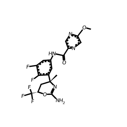 COc1cnc(C(=O)Nc2cc(F)c(F)c([C@@]3(C)C[C@@H](C(F)(F)F)OC(N)=N3)c2)cn1